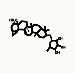 CC1O[C@@H](CC2CC[C@@]3(C)C(CC[C@]4(C)C3CC=C3C5C6C[C@@]6(C)CC[C@]5(C(=O)O)CC[C@]34C)C2(C)C)C(O)C(O)[C@@H]1O